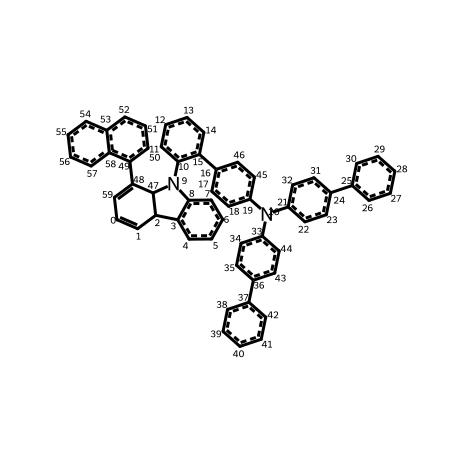 C1=CC2c3ccccc3N(c3ccccc3-c3ccc(N(c4ccc(-c5ccccc5)cc4)c4ccc(-c5ccccc5)cc4)cc3)C2C(c2cccc3ccccc23)=C1